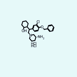 Cl.Cl.N[C@@H]1CCCN(CC(c2ccc(OCc3ccccc3)c(Cl)c2)C2CCCCC2O)C1